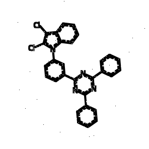 Clc1c(Cl)n(-c2cccc(-c3nc(-c4ccccc4)nc(-c4ccccc4)n3)c2)c2ccccc12